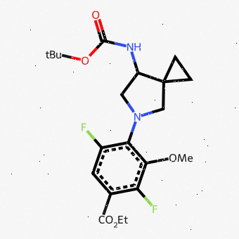 CCOC(=O)c1cc(F)c(N2CC(NC(=O)OC(C)(C)C)C3(CC3)C2)c(OC)c1F